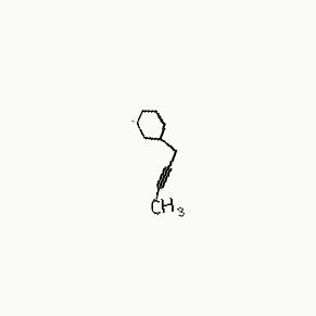 CC#CCC1C[CH]CCC1